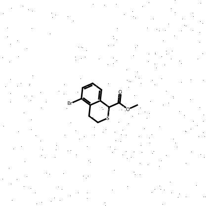 COC(=O)C1SCCc2c(Br)cccc21